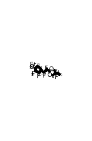 C=CC1(F)COC(/C(F)=C(\F)c2ccc(OCC)c(F)c2F)OC1